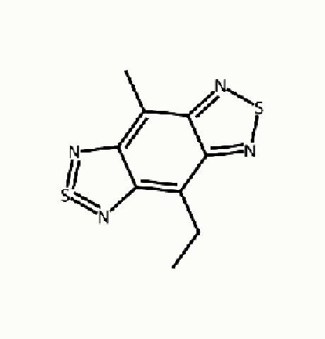 CCc1c2c(c(C)c3nsnc13)N=S=N2